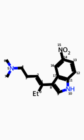 CCC(=CCCN(C)C)c1c[nH]c2ccc([N+](=O)[O-])cc12